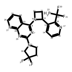 FC1(F)CCN(c2nc(N3CCC3c3cccnc3C(F)(F)P)c3cccnc3n2)C1